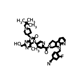 Cc1nc(CO)nc2c1n(-c1ccc(C(=O)N3CCc4c(n(Cc5ccc(C#N)cc5F)c5ncccc45)C3)nc1)c(=O)n2C1CCN(CC(C)(C)C)CC1